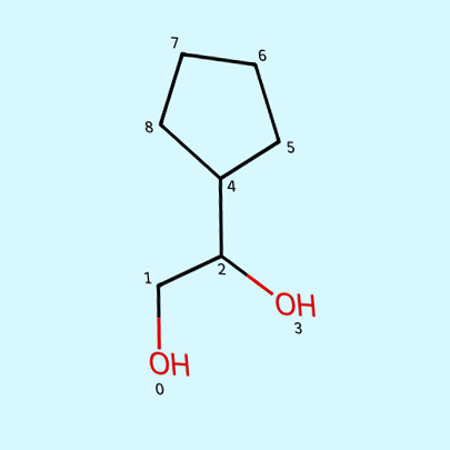 OCC(O)C1CCCC1